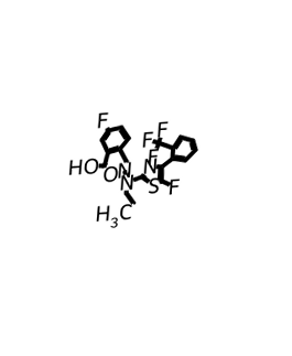 CCCN(/N=C/c1ccc(F)cc1C(=O)O)c1nc(-c2ccccc2C(F)(F)F)c(F)s1